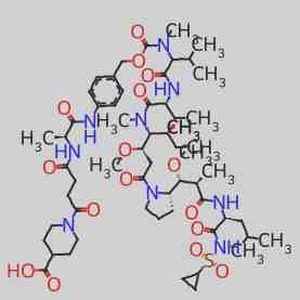 CC[C@H](C)[C@@H]([C@@H](CC(=O)N1CCC[C@H]1[C@H](OC)[C@@H](C)C(=O)N[C@@H](CC(C)C)C(=O)NS(=O)(=O)C1CC1)OC)N(C)C(=O)[C@@H](NC(=O)C(C(C)C)N(C)C(=O)OCc1ccc(NC(=O)[C@H](C)NC(=O)CCC(=O)N2CCC(C(=O)O)CC2)cc1)C(C)C